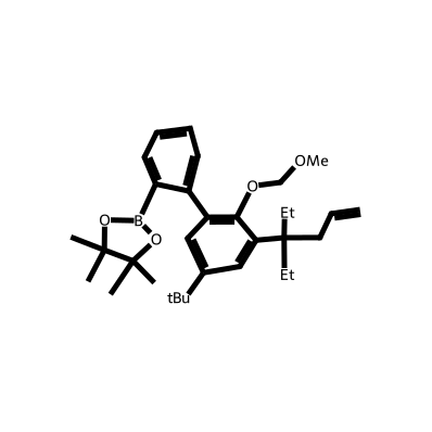 C=CCC(CC)(CC)c1cc(C(C)(C)C)cc(-c2ccccc2B2OC(C)(C)C(C)(C)O2)c1OCOC